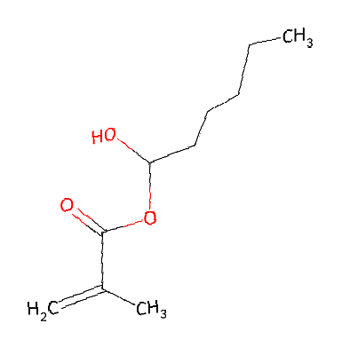 C=C(C)C(=O)OC(O)CCCCC